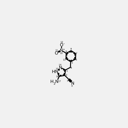 N#Cc1c(Cc2cccc([N+](=O)[O-])c2)n[nH]c1N